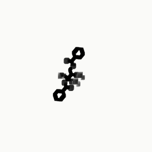 CC(C)C(C)(OC(=O)c1ccccc1)C(C)COC(=O)c1ccccc1